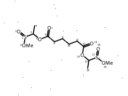 COS(=O)C(C)OC(=O)CCCCC(=O)OC(C)S(=O)OC